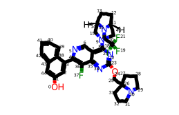 Oc1cc(-c2ncc3c(N4C[C@H]5CC[C@@H](C4)N5CC(F)(F)F)nc(OCC45CCCN4CCC5)nc3c2F)c2ccccc2c1